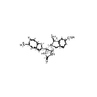 C=C1c2cc(OC)ccc2CN1C[C@@]1(c2cc3cc(C)ncc3o2)NC(=O)NC1=O